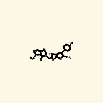 Cc1nc2nc(Cn3cnn4cnc(C)c4c3=O)[nH]c2cc1-c1ccc(Cl)cc1